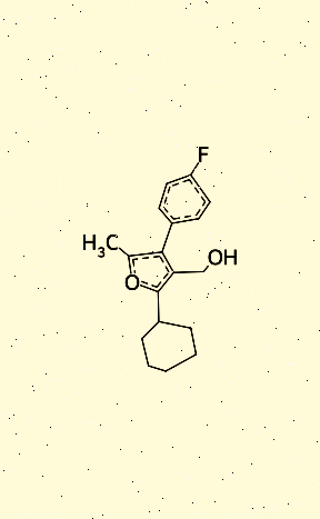 Cc1oc(C2CCCCC2)c(CO)c1-c1ccc(F)cc1